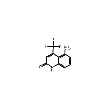 Nc1cccc2[nH]c(=O)cc(C(F)(F)F)c12